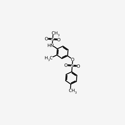 Cc1ccc(S(=O)(=O)Oc2ccc(NS(C)(=O)=O)c(C)c2)cc1